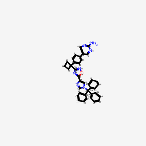 Nc1ncc(-c2ccc(C3(c4noc(-c5cn(C(c6ccccc6)(c6ccccc6)c6ccccc6)cn5)n4)CCC3)cc2)cn1